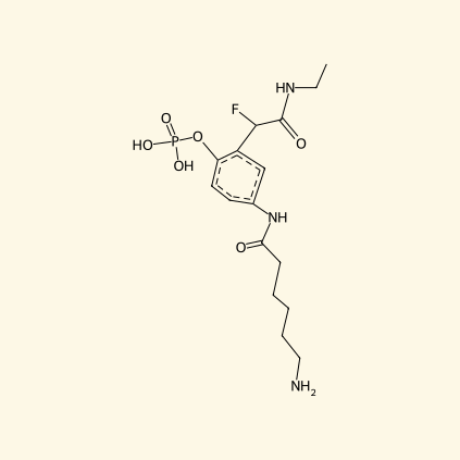 CCNC(=O)C(F)c1cc(NC(=O)CCCCCN)ccc1OP(=O)(O)O